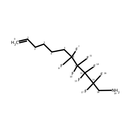 C=CCCCCC(F)(F)C(F)(F)C(F)(F)C(F)(F)CN